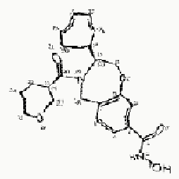 O=C(NO)c1ccc2c(c1)OC[C@H](C1C=CC=CC1)N(C(=O)[C@@H]1CCCOC1)C2